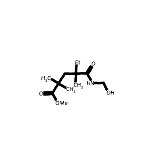 CCC(C)(CC(C)(C)C(=O)OC)C(=O)NCO